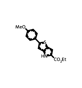 CCOC(=O)c1cc2sc(-c3ccc(OC)cc3)cc2[nH]1